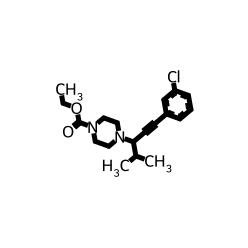 CCOC(=O)N1CCN(C(C#Cc2cccc(Cl)c2)C(C)C)CC1